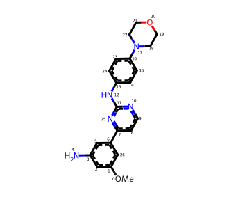 COc1cc(N)cc(-c2ccnc(Nc3ccc(N4CCOCC4)cc3)n2)c1